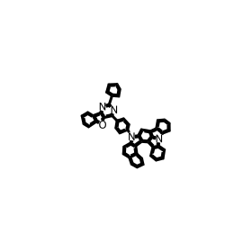 c1ccc(-c2nc(-c3ccc(-n4c5ccc6ccccc6c5c5c6c7ccccc7n7c8ccccc8c(cc54)c67)cc3)c3oc4ccccc4c3n2)cc1